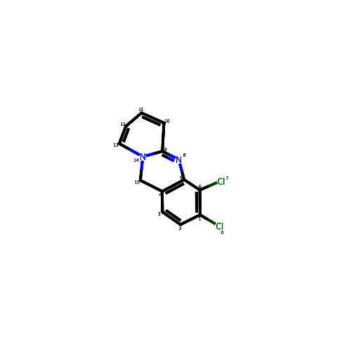 Clc1ccc2c(c1Cl)N=C1C=CC=CN1C2